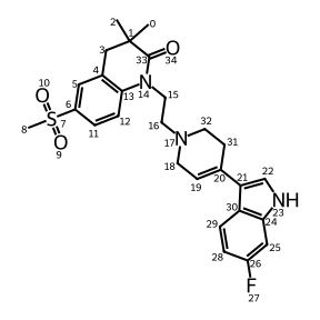 CC1(C)Cc2cc(S(C)(=O)=O)ccc2N(CCN2CC=C(c3c[nH]c4cc(F)ccc34)CC2)C1=O